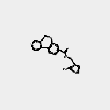 O=C(NCc1ccsc1Br)c1ccc2c(c1)OCc1cnccc1-2